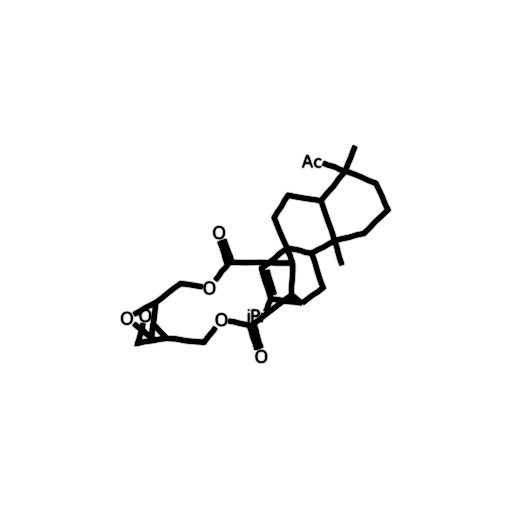 CC(=O)C1(C)CCCC2(C)C1CCC13C=C(C(C)C)C(CC21)C(C(=O)OCC1CO1)C3C(=O)OCC1CO1